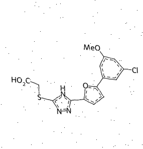 COc1cc(Cl)cc(-c2ccc(-c3nnc(SCC(=O)O)[nH]3)o2)c1